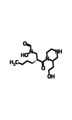 CCCC[C@H](CN(O)C=O)C(=O)N1CCNCC1CCO